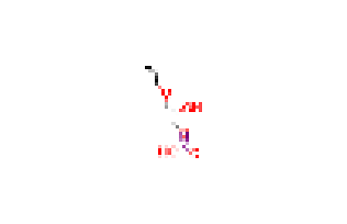 C=CCOCC(O)CO[PH](=O)O